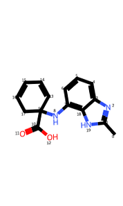 Cc1nc2cccc(NC3(C(=O)O)C=CC=CC3)c2[nH]1